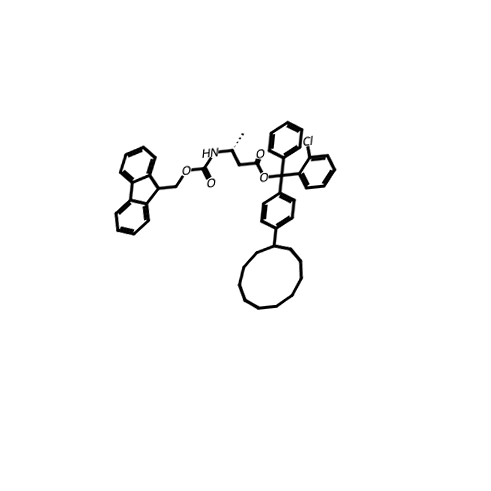 C[C@H](CC(=O)OC(c1ccccc1)(c1ccc(C2CCCCCCCCCC2)cc1)c1ccccc1Cl)NC(=O)OCC1c2ccccc2-c2ccccc21